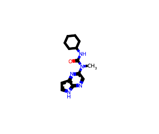 CN(C(=O)NC1CCCCC1)c1cnc2[nH]ccc2n1